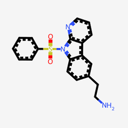 NCCc1ccc2c(c1)c1cccnc1n2S(=O)(=O)c1ccccc1